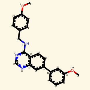 COc1ccc(CNc2ncnc3cc(-c4cccc(OC)c4)ccc23)cc1